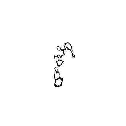 N#C[C@@H]1CCCN1C(=O)CN[C@@H]1CC[C@H](CN2Cc3ccccc3C2)C1